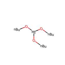 CCCC[O][Hf]([O]CCCC)[O]CCCC